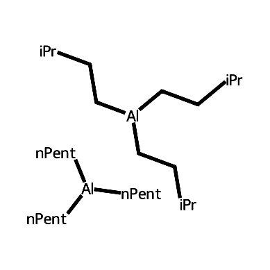 CC(C)C[CH2][Al]([CH2]CC(C)C)[CH2]CC(C)C.CCCC[CH2][Al]([CH2]CCCC)[CH2]CCCC